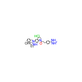 CCNC(C=O)N(Cc1ccccc1)c1ccc2c(c1)CCCN2C(=O)CCc1ccc(C(=N)N)cc1.Cl